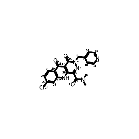 CN(C)C(=O)c1nn(Cc2ccncc2)c(=O)c2c(=O)c3ccc(Cl)cc3[nH]c12